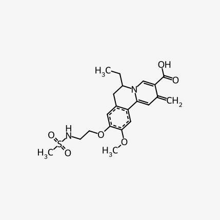 C=C1C=C2c3cc(OC)c(OCCNS(C)(=O)=O)cc3CC(CC)N2C=C1C(=O)O